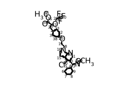 CO/N=C(/c1ccccc1)c1cnc2c(ccn2CCOc2ccc(CC(OCC(F)(F)F)C(=O)OC)cc2)c1Cl